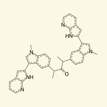 CC(C(=O)C(C)c1ccc2c(c1)c(-c1cc3cccnc3[nH]1)cn2C)c1ccc2c(c1)c(-c1cc3cccnc3[nH]1)cn2C